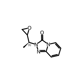 C[C@@H](C1CO1)n1nc2ccccn2c1=O